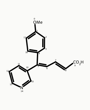 COc1ccc(/C(=C\C=C\C(=O)O)c2cccnc2)cc1